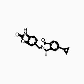 C[C@@H]1c2cc(C3CC3)ccc2C(=O)N1Cc1ccc2[nH]c(=O)oc2c1